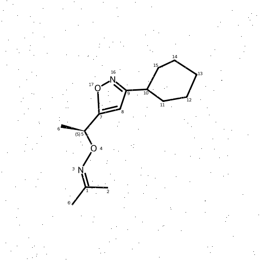 CC(C)=NO[C@@H](C)c1cc(C2CCCCC2)no1